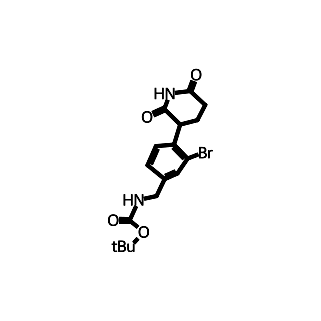 CC(C)(C)OC(=O)NCc1ccc(C2CCC(=O)NC2=O)c(Br)c1